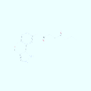 CCOC(=O)CCC(=O)Oc1ccc2c(c1)C1NNC=C1CO2